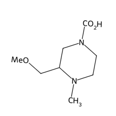 COCC1CN(C(=O)O)CCN1C